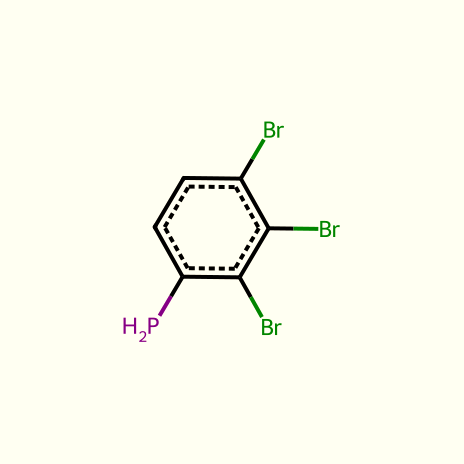 Pc1ccc(Br)c(Br)c1Br